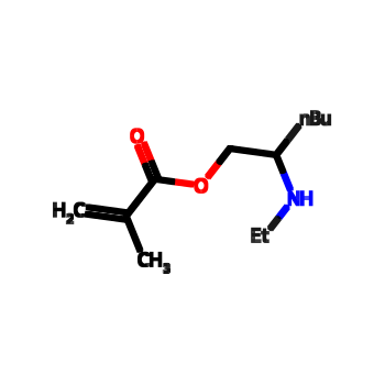 C=C(C)C(=O)OCC(CCCC)NCC